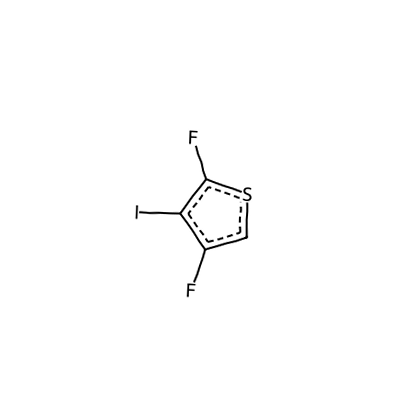 Fc1csc(F)c1I